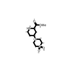 COC(=O)C1CC(N2CCS(=O)(=O)CC2)CCN1